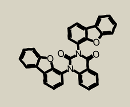 O=c1c2ccccc2n(-c2cccc3c2oc2ccccc23)c(=O)n1-c1cccc2c1oc1ccccc12